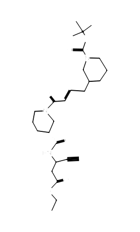 C#CC(CC(=O)OCC)NC(=O)[C@@H]1CCCN(C(=O)/C=C/CC2CCCN(C(=O)OC(C)(C)C)C2)C1